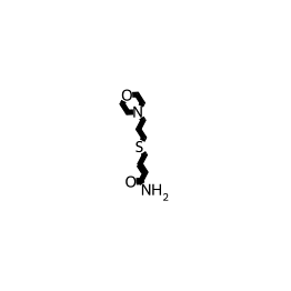 NC(=O)C=CCSCCCN1CCOCC1